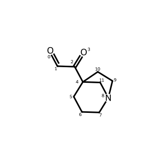 O=CC(=O)C12CCCN(CC1)C2